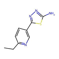 CCc1ccc(-c2nnc(N)s2)cn1